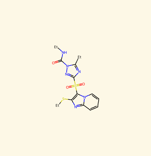 CCNC(=O)n1nc(S(=O)(=O)c2c(SCC)nc3ccccn23)nc1CC